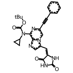 CC(C)(C)OC(=O)N(c1nc(C#Cc2ccccc2)cn2c(C=C3NC(=O)NC3=O)cnc12)C1CC1